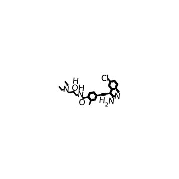 CCN(CC)CC(O)CNC(=O)c1ccc(C#Cc2c(N)ncc3ccc(Cl)cc23)cc1C